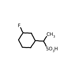 CC(C1CCCC(F)C1)S(=O)(=O)O